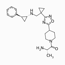 C[C@H](N)C(=O)N1CCC(c2nc(C3(CN[C@@H]4C[C@H]4c4ccccc4)CC3)no2)CC1